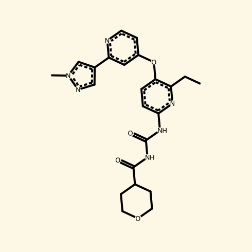 CCc1nc(NC(=O)NC(=O)C2CCOCC2)ccc1Oc1ccnc(-c2cnn(C)c2)c1